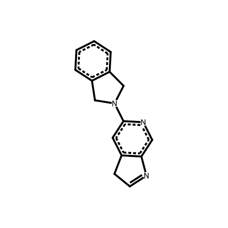 C1=Nc2cnc(N3Cc4ccccc4C3)cc2C1